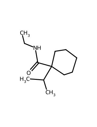 CCNC(=O)C1(C(C)C)CCCCC1